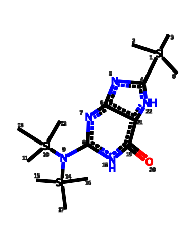 C[Si](C)(C)c1nc2nc(N([Si](C)(C)C)[Si](C)(C)C)[nH]c(=O)c2[nH]1